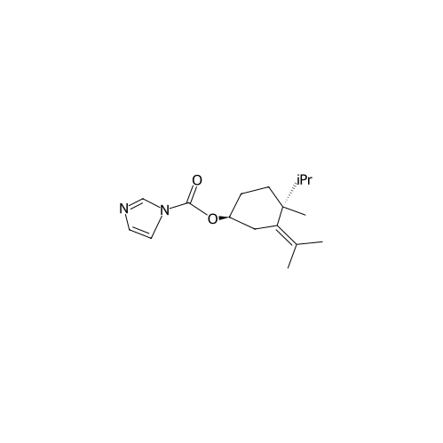 CC(C)=C1C[C@@H](OC(=O)n2ccnc2)CC[C@]1(C)C(C)C